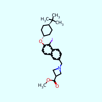 COC(=O)C1CN(Cc2ccc3c(I)c(O[C@H]4CC[C@H](C(C)(C)C)CC4)ccc3c2)C1